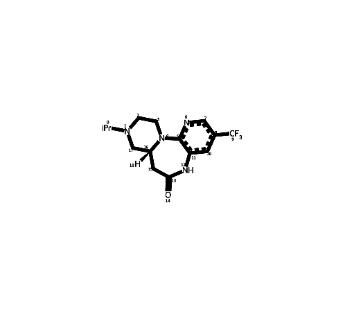 CC(C)N1CCN2c3ncc(C(F)(F)F)cc3NC(=O)C[C@@H]2C1